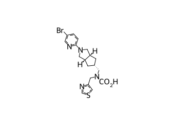 O=C(O)N(Cc1cscn1)C[C@@H]1C[C@@H]2CN(c3ccc(Br)cn3)C[C@@H]2C1